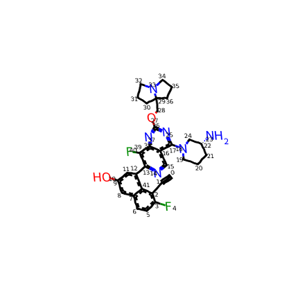 C#Cc1c(F)ccc2cc(O)cc(-c3ncc4c(N5CCC[C@@H](N)C5)nc(OCC56CCCN5CCC6)nc4c3F)c12